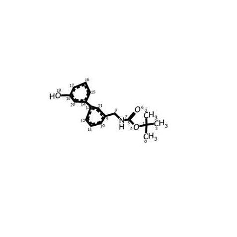 CC(C)(C)OC(=O)NCc1cccc(-c2cccc(O)c2)c1